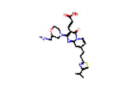 CC(C)c1csc(CCc2ccn3c(=O)c(C=CC(=O)O)c(N4CCOC(CN)C4)nc3c2)n1